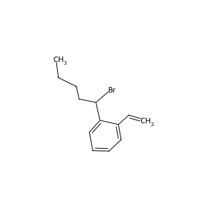 C=Cc1ccccc1C(Br)CCCC